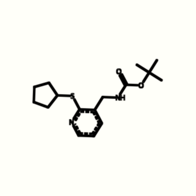 CC(C)(C)OC(=O)NCc1cccnc1SC1CCCC1